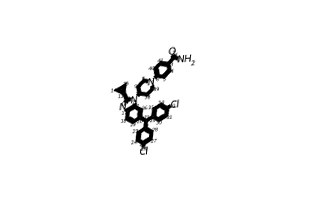 NC(=O)c1ccc(N2CCC(n3c(C4CC4)nc4ccc(C(c5ccc(Cl)cc5)c5ccc(Cl)cc5)cc43)CC2)cc1